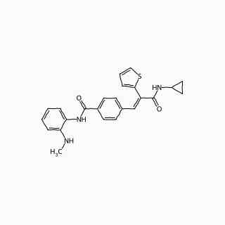 CNc1ccccc1NC(=O)c1ccc(/C=C(/C(=O)NC2CC2)c2cccs2)cc1